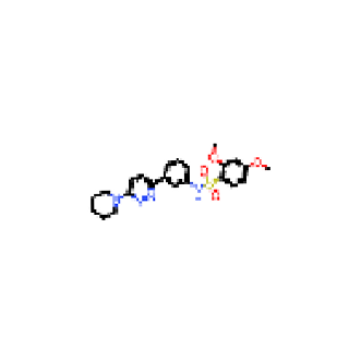 COc1ccc(S(=O)(=O)Nc2cccc(-c3ccc(N4CCCCC4)nn3)c2)c(OC)c1